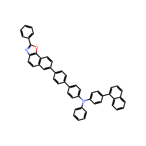 c1ccc(-c2nc3ccc4cc(-c5ccc(-c6ccc(N(c7ccccc7)c7ccc(-c8cccc9ccccc89)cc7)cc6)cc5)ccc4c3o2)cc1